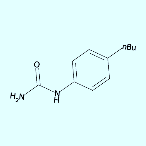 CCCCc1ccc(NC(N)=O)cc1